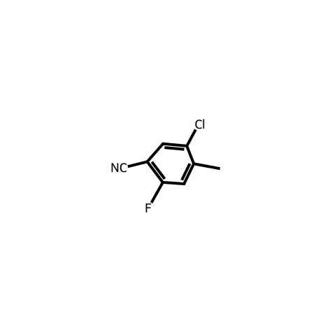 Cc1cc(F)c(C#N)cc1Cl